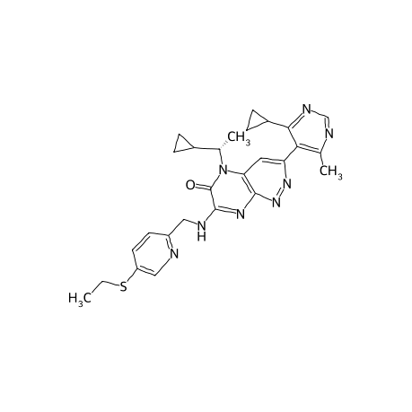 CCSc1ccc(CNc2nc3nnc(-c4c(C)ncnc4C4CC4)cc3n([C@@H](C)C3CC3)c2=O)nc1